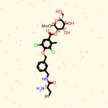 CO[C@H]1O[C@H](CO)[C@@H](O)[C@H](O)[C@H]1OC(=O)c1cc(Cl)c(OCc2cccc(CNC(=O)[C@@H](N)CC(C)C)c2)c(Cl)c1C